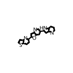 c1cnc2cc(-c3cnc4cc(-c5ccc6sccc6n5)oc4c3)[nH]c2c1